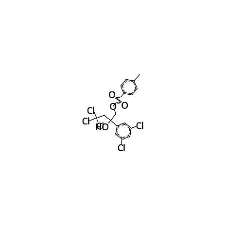 Cc1ccc(S(=O)(=O)OCC(O)(CC(Cl)(Cl)Cl)c2cc(Cl)cc(Cl)c2)cc1